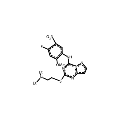 CCN(CC)CCSc1nc(Nc2cc([N+](=O)[O-])c(F)cc2OC)n2nccc2n1